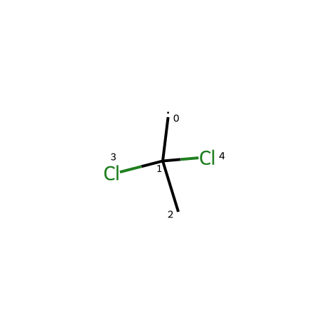 [CH2]C(C)(Cl)Cl